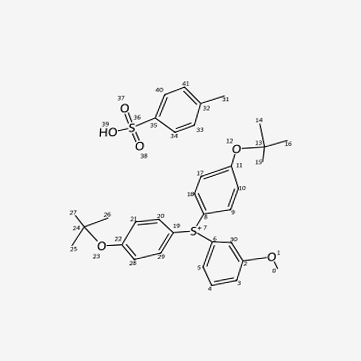 COc1cccc([S+](c2ccc(OC(C)(C)C)cc2)c2ccc(OC(C)(C)C)cc2)c1.Cc1ccc(S(=O)(=O)O)cc1